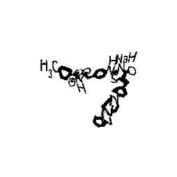 Cc1ccc(S(=O)(=O)NC(=O)Cc2ccc(NC3=NC(=O)/C(=C/c4ccc(N5CCN(c6ccccn6)CC5)cc4)S3)cc2)cc1.[NaH]